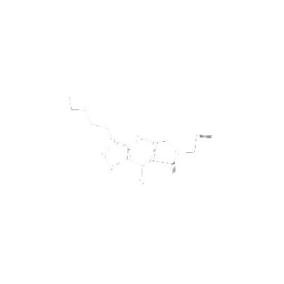 C=CCN1Cc2nc3c(cnn3CCCCC)c(N)c2C1=O